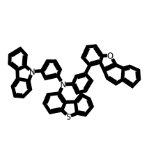 c1cc(-c2cccc3oc4c5ccccc5ccc4c23)cc(N(c2cccc(-n3c4ccccc4c4ccccc43)c2)c2cccc3sc4ccccc4c23)c1